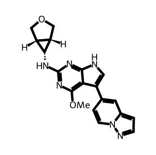 COc1nc(N[C@@H]2[C@@H]3COC[C@@H]32)nc2[nH]cc(-c3ccn4nccc4c3)c12